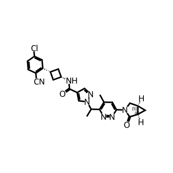 Cc1cc(N2C[C@H]3C[C@H]3C2=O)nnc1C(C)n1cc(C(=O)N[C@H]2C[C@@H](c3cc(Cl)ccc3C#N)C2)cn1